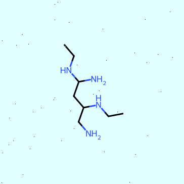 CCNC(N)CC(CN)NCC